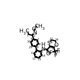 CC/C(=N\OC)c1ccc(-c2ccccc2NC(=O)C2=C(C(F)(F)F)OCCS2)cc1